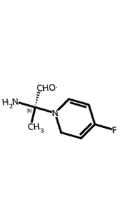 C[C@](N)([C]=O)N1C=CC(F)=CC1